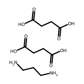 NCCCN.O=C(O)CCC(=O)O.O=C(O)CCC(=O)O